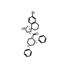 O=C([C@@H]1CNC[C@]12CCCc1cc(Br)ccc12)N1CC[C@@H](c2ccccc2)C[C@H]1c1ccccc1